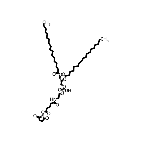 CCCCCCCCCCCCCCCCCC(=O)OC[C@H](COP(=O)(O)OCCNC(=O)CCCC(=O)ON1C(=O)CCC1=O)OC(=O)CCCCCCCCCCCCCCCCC